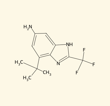 CC(C)(C)c1cc(N)cc2[nH]c(C(F)(F)F)nc12